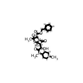 CN1CCC(N(C)C(=O)[C@@H](O)[C@@H]2C(=O)N3[C@@H]2SC(C)(C)[C@@H]3C(=O)OCc2ccccc2)CC1